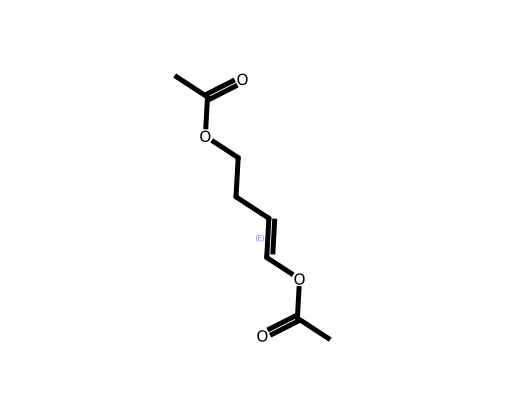 CC(=O)O/C=C/CCOC(C)=O